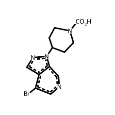 O=C(O)N1CCC(n2ncc3c(Br)cncc32)CC1